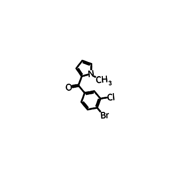 Cn1cccc1C(=O)c1ccc(Br)c(Cl)c1